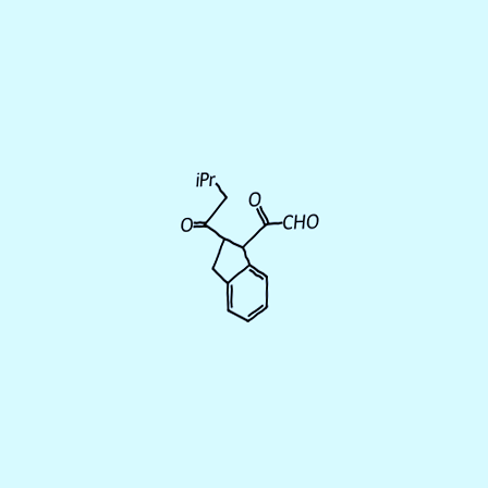 CC(C)CC(=O)C1Cc2ccccc2C1C(=O)C=O